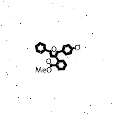 COC(=O)c1ccccc1-c1cc(-c2ccccc2)oc1-c1ccc(Cl)cc1